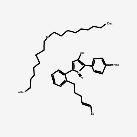 CCC=CCCCc1ccccc1C1=CC(CCCC)=C(c2ccc(CCCC)cc2)[N+]1=[N-].CCCCCCCCCCCCCCCCC[CH2][Ni][CH2]CCCCCCCCCCCCCCCCC